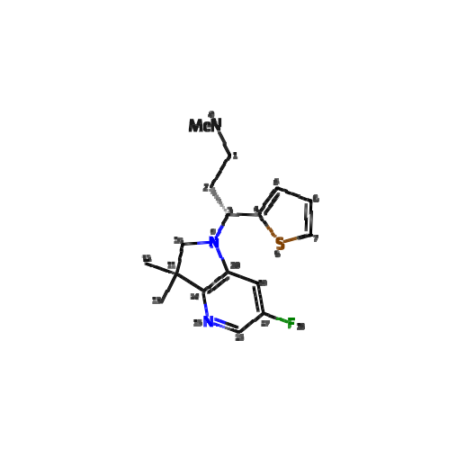 CNCC[C@H](c1cccs1)N1CC(C)(C)c2ncc(F)cc21